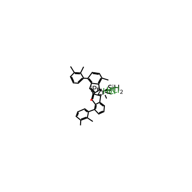 CC1=Cc2c(-c3cccc(C)c3C)ccc(C)c2[CH]1[Zr]([CH3])([CH3])(=[SiH2])[CH]1C(C(C)C)=Cc2c(-c3cccc(C)c3C)cccc21.Cl.Cl